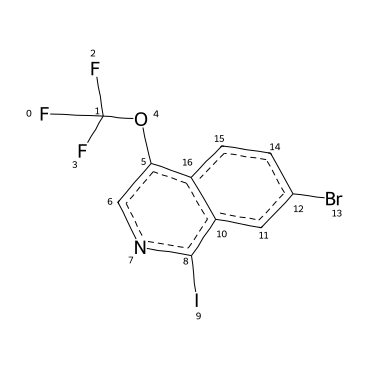 FC(F)(F)Oc1cnc(I)c2cc(Br)ccc12